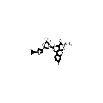 C[C@H]1CN(c2nc(-c3ccc(F)cc3F)c3cnn(C)c(=O)c3n2)C[C@H](c2cnn(C3CC3)c2)O1